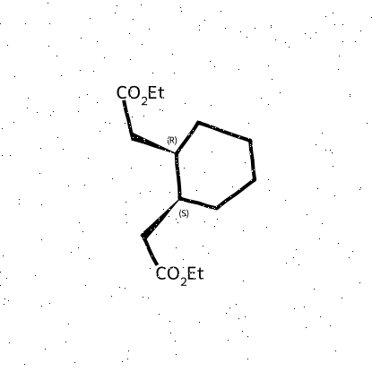 CCOC(=O)C[C@H]1CCCC[C@H]1CC(=O)OCC